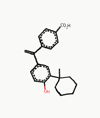 C=C(c1ccc(C(=O)O)cc1)c1ccc(O)c(C2(C)CCCCC2)c1